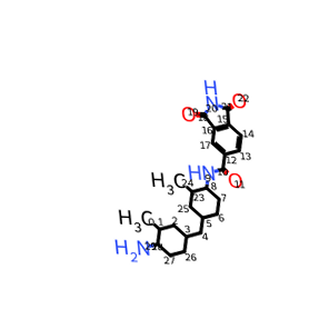 CC1CC(CC2CCC(NC(=O)c3ccc4c(c3)C(=O)NC4=O)C(C)C2)CCC1N